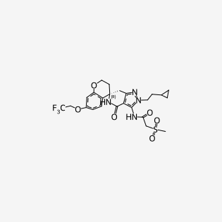 CS(=O)(=O)CC(=O)Nc1c2c(nn1CCC1CC1)C[C@]1(CCOc3cc(OCC(F)(F)F)ccc31)NC2=O